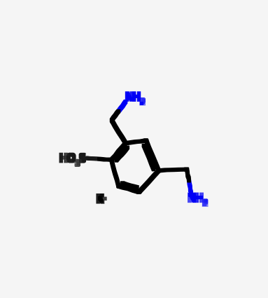 NCc1ccc(S(=O)(=O)O)c(CN)c1.[K]